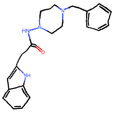 O=C(Cc1cc2ccccc2[nH]1)NN1CCN(Cc2ccccc2)CC1